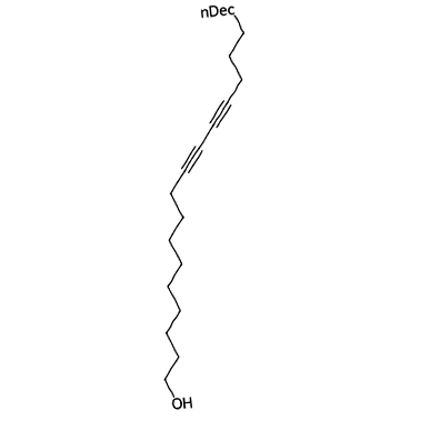 CCCCCCCCCCCCCC#CC#CCCCCCCCCCO